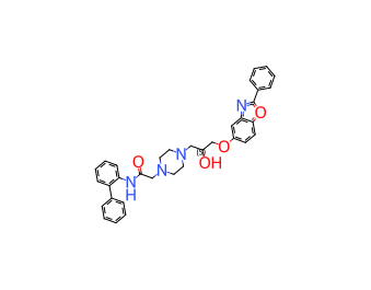 O=C(CN1CCN(C[C@H](O)COc2ccc3oc(-c4ccccc4)nc3c2)CC1)Nc1ccccc1-c1ccccc1